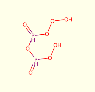 O=[PH](OO)O[PH](=O)OOO